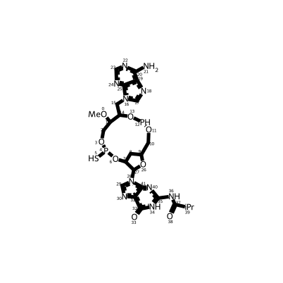 COC1COP(S)OC2CC(COPOC1Cn1cnc3c(N)ncnc31)OC2n1cnc2c(=O)[nH]c(NC(=O)C(C)C)nc21